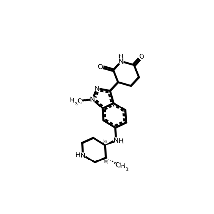 C[C@@H]1CNCC[C@H]1Nc1ccc2c(C3CCC(=O)NC3=O)nn(C)c2c1